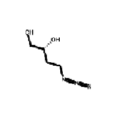 [N-]=[N+]=NCC[C@@H](O)CO